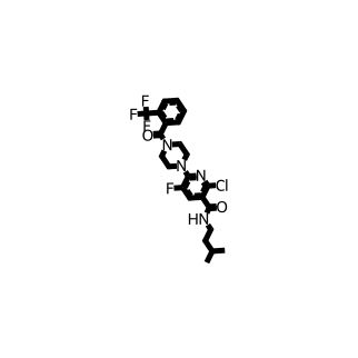 CC(C)CCNC(=O)c1cc(F)c(N2CCN(C(=O)c3ccccc3C(F)(F)F)CC2)nc1Cl